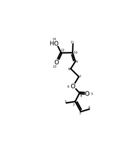 CC=C(C)C(=O)OCCC=C(C)C(=O)O